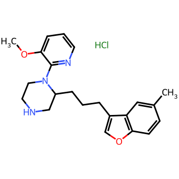 COc1cccnc1N1CCNCC1CCCc1coc2ccc(C)cc12.Cl